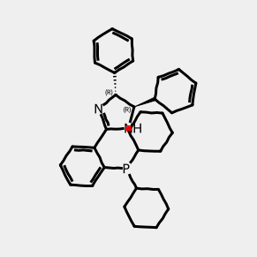 C1=CCC([C@H]2NC(c3ccccc3P(C3CCCCC3)C3CCCCC3)=N[C@@H]2c2ccccc2)C=C1